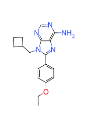 CCOc1ccc(-c2nc3c(N)ncnc3n2CC2CCC2)cc1